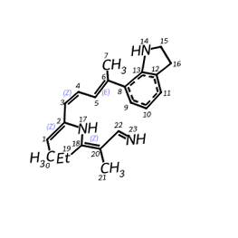 C/C=C(/C=C\C=C(/C)c1cccc2c1NCC2)N/C(CC)=C(/C)C=N